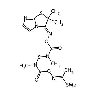 CSC(C)=NOC(=O)N(C)SN(C)C(=O)ON=C1n2ccnc2SC1(C)C